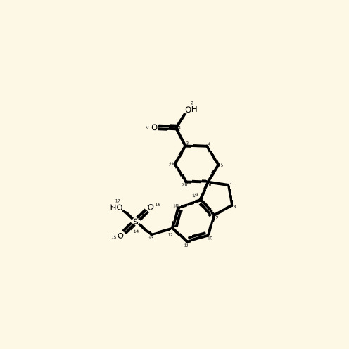 O=C(O)C1CCC2(CCc3ccc(CS(=O)(=O)O)cc32)CC1